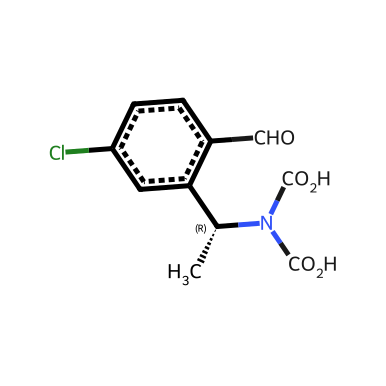 C[C@H](c1cc(Cl)ccc1C=O)N(C(=O)O)C(=O)O